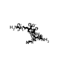 C[C@@H](C(N)=O)[N+](C)(C)C/C=C/C1=C(C(=O)[O-])N2C(=O)[C@H](NC(=O)/C(=N\OCC#N)c3nsc(N)n3)[C@@H]2SC1